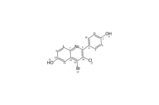 Oc1ccc(-c2nc3ccc(O)cc3c(Br)c2Cl)cc1